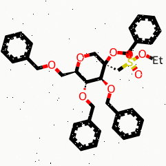 CCOS(=O)(=O)C[C@@]1(OCc2ccccc2)CO[C@H](COCc2ccccc2)[C@@H](OCc2ccccc2)[C@@H]1OCc1ccccc1